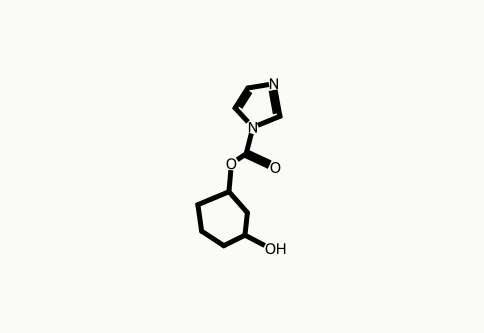 O=C(OC1CCCC(O)C1)n1ccnc1